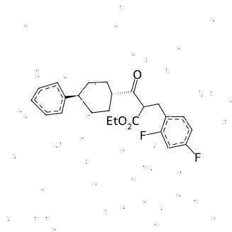 CCOC(=O)C(Cc1ccc(F)cc1F)C(=O)[C@H]1CC[C@H](c2ccccc2)CC1